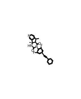 CC(C)C1C(=O)N(c2c(F)cc(C#Cc3ccccc3)cc2F)C(=O)N[C@]1(C)c1cccnc1